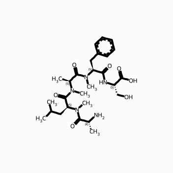 CC(C)C[C@@H](C(=O)N(C)[C@@H](C)C(=O)N(C)[C@@H](Cc1ccccc1)C(=O)N[C@@H](CO)C(=O)O)N(C)C(=O)[C@@H](C)N